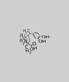 CC(CC(C)(N)C(=O)O)C(C)c1ccc(O)c(O)c1